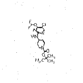 CC(C)(C)OC(=O)N1CCC(Nc2ncc(Cl)c(OC(F)F)n2)CC1